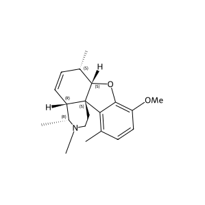 COc1ccc(C)c2c1O[C@H]1[C@@H](C)C=C[C@H]3[C@@H](C)N(C)CC[C@@]231